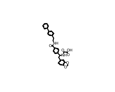 O=C(O)C(=O)NC(Cc1ccc2c(c1)OCO2)c1ccc(C(=O)NCCc2ccc(-c3ccccc3)cc2)cc1